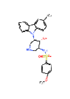 CC(C)(C)c1ccc2c(c1)c1ccccc1n2[C@@H]1CNC[C@H](NS(=O)(=O)c2ccc(OC(F)(F)F)cc2)[C@H]1O